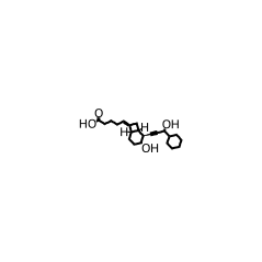 O=C(O)CCC/C=C1/C[C@@H]2[C@@H](C#CC(O)C3CCCCC3)[C@H](O)CC[C@H]12